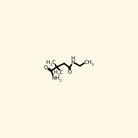 CCNC(=O)[CH]C(C)(C)C(N)=O